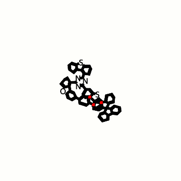 c1ccc2c(c1)-c1ccccc1C21c2ccccc2-c2cc(-c3ccc(-c4ccc5oc6cccc(-c7nc(-c8ccc9c(c8)sc8ccccc89)nc(-c8cccc9sc%10ccccc%10c89)n7)c6c5c4)cc3)ccc21